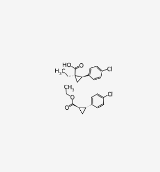 CCOC(=O)[C@@H]1C[C@H]1c1ccc(Cl)cc1.CC[C@@]1(C(=O)O)C[C@@H]1c1ccc(Cl)cc1